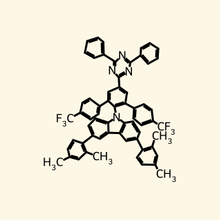 Cc1ccc(-c2ccc3c(c2)c2cc(-c4ccc(C)cc4C)ccc2n3-c2c(-c3ccc(C(F)(F)F)cc3)cc(-c3nc(-c4ccccc4)nc(-c4ccccc4)n3)cc2-c2ccc(C(F)(F)F)cc2)c(C)c1